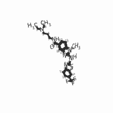 CCN(CC)CCCNC(=O)c1ccc2c(c1)nc(Nc1nc3ccc(C(F)(F)F)cc3s1)n2C